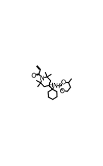 C=CC(=O)N1C(C)(C)CC(C2(NP3OCCC(C)O3)CCCCC2)CC1(C)C